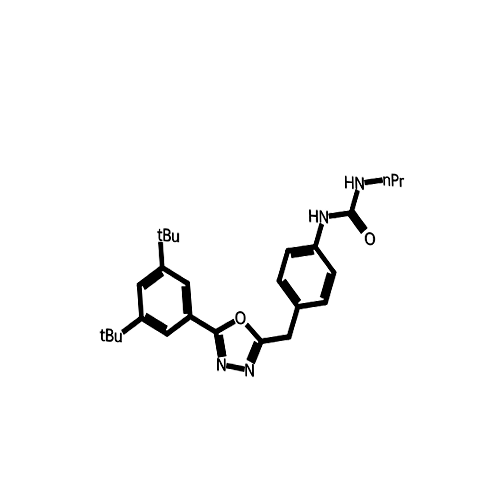 CCCNC(=O)Nc1ccc(Cc2nnc(-c3cc(C(C)(C)C)cc(C(C)(C)C)c3)o2)cc1